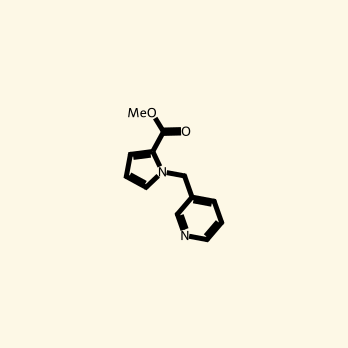 COC(=O)c1cccn1Cc1cccnc1